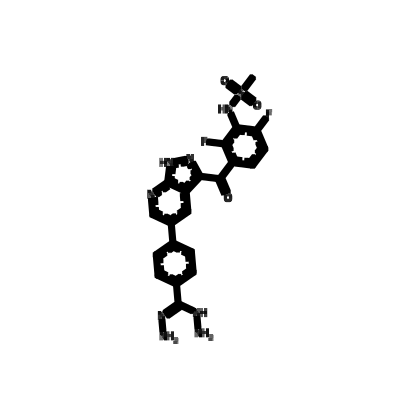 CS(=O)(=O)Nc1c(F)ccc(C(=O)c2n[nH]c3ncc(-c4ccc(/C(=N/N)NN)cc4)cc23)c1F